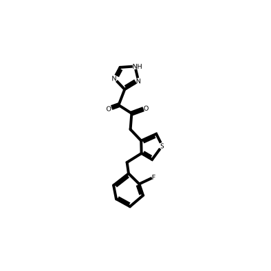 O=C(Cc1cscc1Cc1ccccc1F)C(=O)c1nc[nH]n1